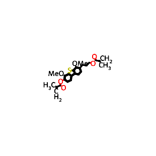 C=C(C)C(=O)OCCCc1ccc2c(sc3c(OC)c(OC(=O)C(=C)C)ccc32)c1OC